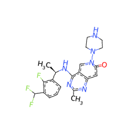 Cc1nc(N[C@H](C)c2cccc(C(F)F)c2F)c2cn(N3CCNCC3)c(=O)cc2n1